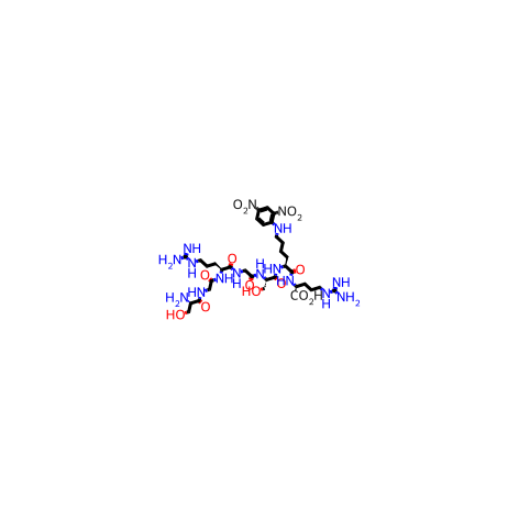 N=C(N)NCCC[C@H](NC(=O)CNC(=O)[C@@H](N)CO)C(=O)NCC(=O)N[C@@H](CO)C(=O)N[C@@H](CCCCNc1ccc([N+](=O)[O-])cc1[N+](=O)[O-])C(=O)N[C@H](CCCNC(=N)N)C(=O)O